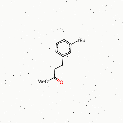 COC(=O)CCc1cccc(C(C)(C)C)c1